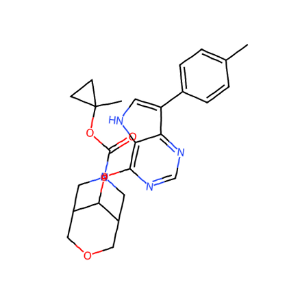 Cc1ccc(-c2c[nH]c3c(OC4C5COCC4CN(C(=O)OC4(C)CC4)C5)ncnc23)cc1